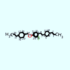 CCCC1CCC(CCc2ccc(OCC3CCC(CCC)CC3)cc2F)CC1